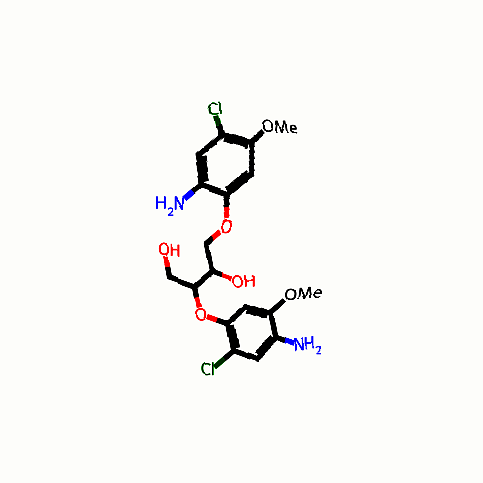 COc1cc(OC(CO)C(O)COc2cc(OC)c(Cl)cc2N)c(Cl)cc1N